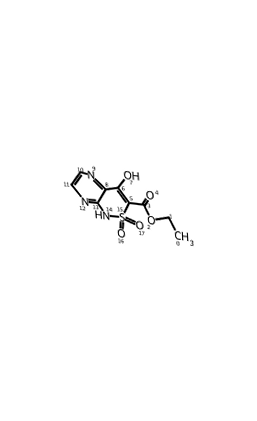 CCOC(=O)C1=C(O)c2nccnc2NS1(=O)=O